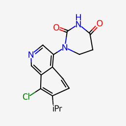 CC(C)c1ccc2c(N3CCC(=O)NC3=O)cncc2c1Cl